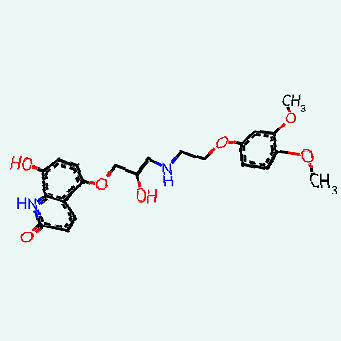 COc1ccc(OCCNCC(O)COc2ccc(O)c3[nH]c(=O)ccc23)cc1OC